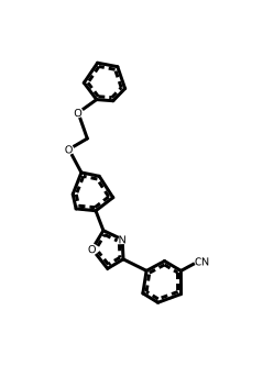 N#Cc1cccc(-c2coc(-c3ccc(OCOc4ccccc4)cc3)n2)c1